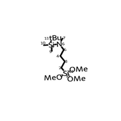 CO[Si](CCCCN(C)[Si](C)(C)C(C)(C)C)(OC)OC